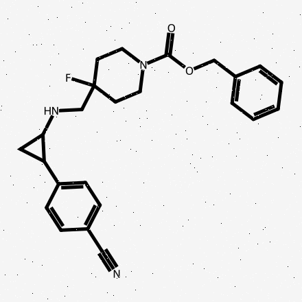 N#Cc1ccc(C2CC2NCC2(F)CCN(C(=O)OCc3ccccc3)CC2)cc1